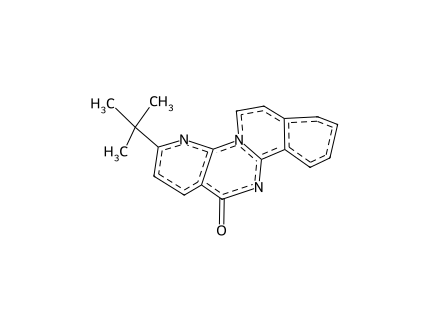 CC(C)(C)c1ccc2c(=O)nc3c4ccccc4ccn3c2n1